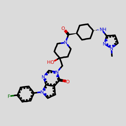 Cn1ccc(N[C@H]2CC[C@H](C(=O)N3CCC(O)(Cn4cnc5c(ccn5-c5ccc(F)cc5)c4=O)CC3)CC2)n1